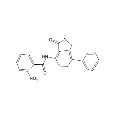 O=C(Nc1ccc(-c2ccccc2)c2c1C(=O)NC2)c1ccccc1[N+](=O)[O-]